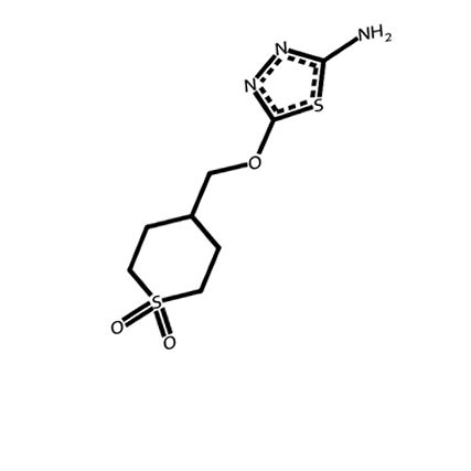 Nc1nnc(OCC2CCS(=O)(=O)CC2)s1